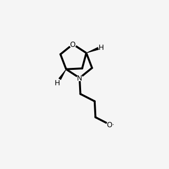 [O]CCCN1C[C@@H]2C[C@H]1CO2